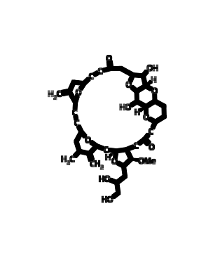 C=C1CC2CCC(=O)CC3OC4C(O)[C@H]5OC(CCC5O[C@H]4C3O)CC(=O)CC3[C@@H](OC)C(CC(O)CO)O[C@H]3CC3OC(CCC1O2)CC(C)C3=C